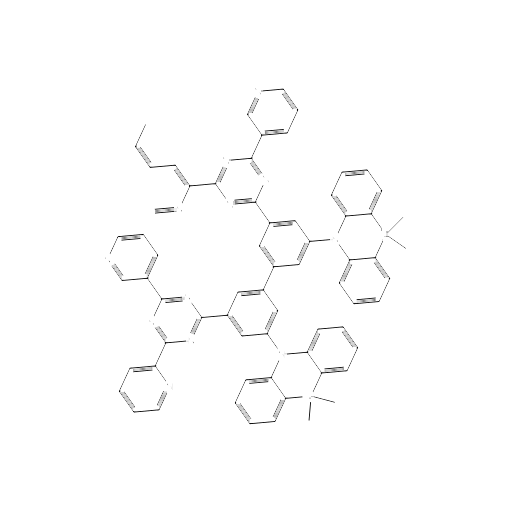 C=N/C(=C\C=C/C)c1nc(-c2cccnc2)nc(-c2cc(-c3cc(-c4nc(-c5cccnc5)nc(-c5ccccn5)n4)cc(N4c5ccccc5[Si](C)(C)c5ccccc54)c3)cc(N3c4ccccc4[Si](C)(C)c4ccccc43)c2)n1